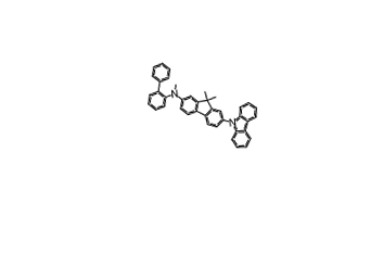 CN(c1ccc2c(c1)C(C)(C)c1cc(-n3c4ccccc4c4ccccc43)ccc1-2)c1ccccc1-c1ccccc1